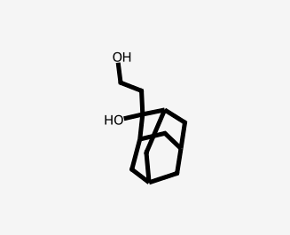 OCCC1(O)C2CC3CC(C2)CC1C3